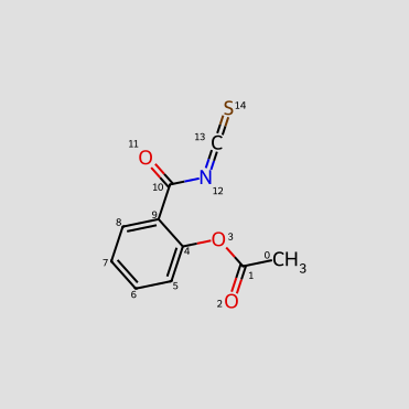 CC(=O)Oc1ccccc1C(=O)N=C=S